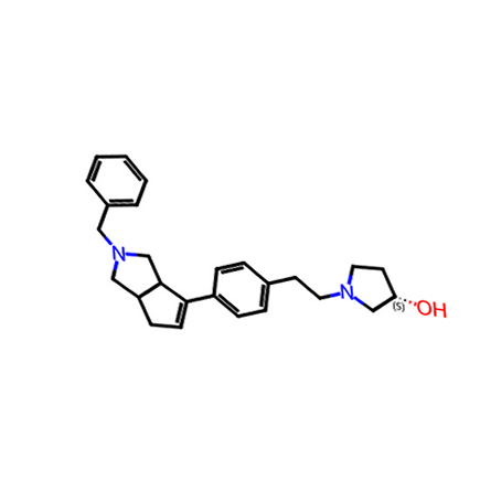 O[C@H]1CCN(CCc2ccc(C3=CCC4CN(Cc5ccccc5)CC34)cc2)C1